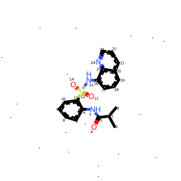 CC(C)C(=O)Nc1ccccc1S(=O)(=O)Nc1cccc2cccnc12